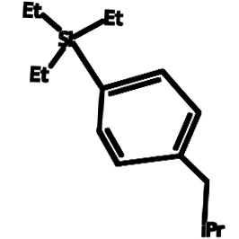 [CH2]C(C)Cc1ccc([Si](CC)(CC)CC)cc1